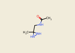 CC(=O)NCC1(C)NN1